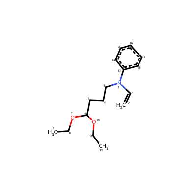 C=CN(CCCC(OCC)OCC)c1ccccc1